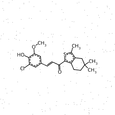 COc1cc(C=CC(=O)c2sc(C)c3c2CCC(C)(C)C3)cc(Cl)c1O